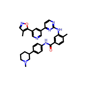 Cc1ccc(C(=O)Nc2ccc(C3CCCN(C)C3)cc2)cc1Nc1nccc(-c2cncc(-c3oncc3C)c2)n1